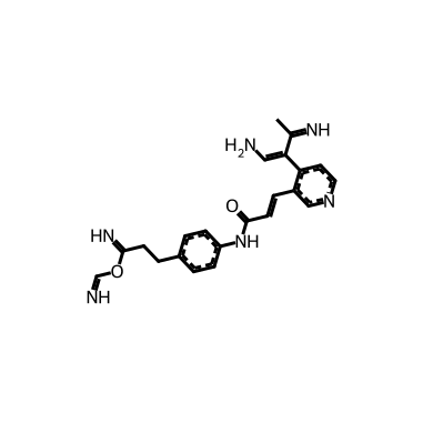 CC(=N)/C(=C\N)c1ccncc1/C=C/C(=O)Nc1ccc(CCC(=N)OC=N)cc1